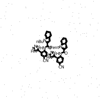 CCCCCn1c(C(=O)Nc2ccc(C#N)cc2-c2nnn[nH]2)cc2ccccc21.CCCCn1c(C(=O)Nc2ccc(C#N)cc2-c2nnn[nH]2)cc2ccccc21